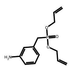 C=CCOP(=O)(Cc1cccc(N)c1)OCC=C